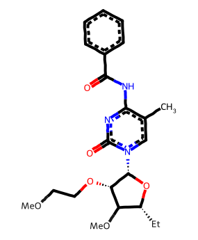 CC[C@H]1O[C@@H](n2cc(C)c(NC(=O)c3ccccc3)nc2=O)[C@@H](OCCOC)C1OC